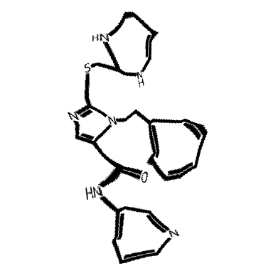 O=C(Nc1cccnc1)c1cnc(SC2NC=CCN2)n1Cc1ccccc1